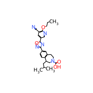 CCCOc1ncc(-c2nc(-c3ccc4c(c3)CCN(C(=O)O)CC4CC(C)C)no2)cc1C#N